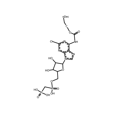 CCCCCCCCCCCCOC(=O)Nc1nc(Cl)nc2c1ncn2C1OC(COP(=O)(O)CP(=O)(O)O)C(O)C1O